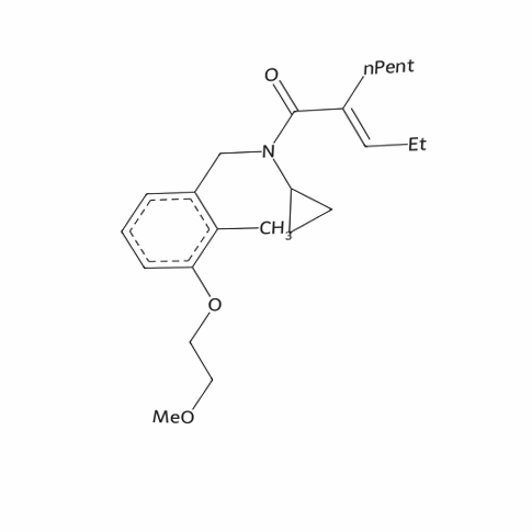 CCC=C(CCCCC)C(=O)N(Cc1cccc(OCCOC)c1C)C1CC1